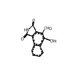 O=Cc1c2c(c3ccccc3c1O)C(=O)NC2=O